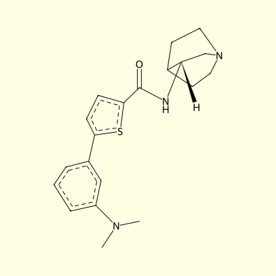 CN(C)c1cccc(-c2ccc(C(=O)N[C@H]3CN4CCC3CC4)s2)c1